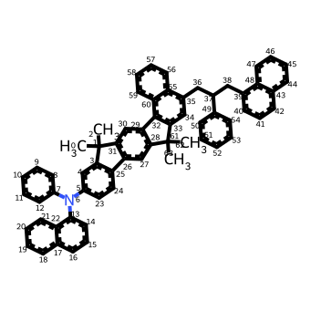 CC1(C)c2cc(N(c3ccccc3)c3cccc4ccccc34)ccc2-c2cc3c(cc21)-c1c(cc(CC(Cc2cccc4ccccc24)c2ccccc2)c2ccccc12)C3(C)C